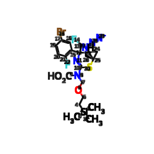 C[Si](C)(C)CCOCN(C(=O)O)C1=N[C@](CF)(c2cc(Br)ccc2F)[C@@H]2C[C@]2(CN=[N+]=[N-])S1